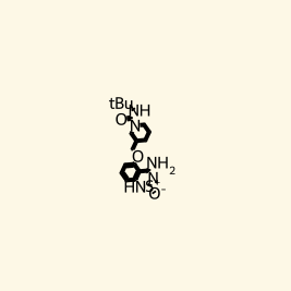 CC(C)(C)NC(=O)N1CCCC(COc2cccc3c2C(N)=N[S+]([O-])N3)C1